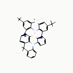 CC(C)(C)c1cc(C#N)c2c(c1)[Si](C)(C)c1cc(C(C)(C)C)cc(C#N)c1N2B1c2ccccc2N2c3ccccc3C(C)(C)c3cccc1c32